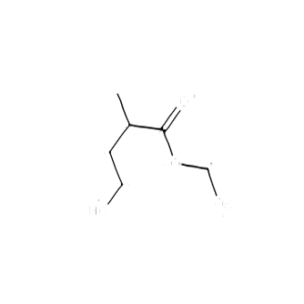 CC(CCO)C(=O)OCO